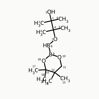 CC(C)(O)C(C)(C)OBB1OCC(C)(C)C(C)(C)O1